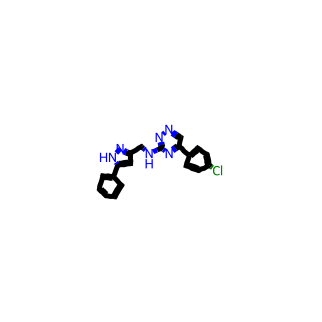 Clc1ccc(-c2cnnc(NCc3cc(-c4ccccc4)[nH]n3)n2)cc1